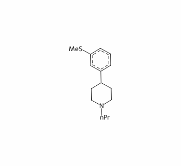 CCCN1CCC(c2cccc(SC)c2)CC1